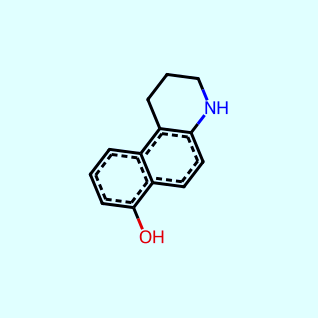 Oc1cccc2c3c(ccc12)NCCC3